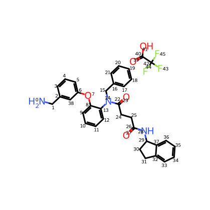 NCc1cccc(Oc2ccccc2N(Cc2ccccc2)C(=O)CCC(=O)NC2CCc3ccccc32)c1.O=C(O)C(F)(F)F